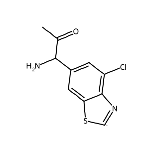 CC(=O)C(N)c1cc(Cl)c2n[c]sc2c1